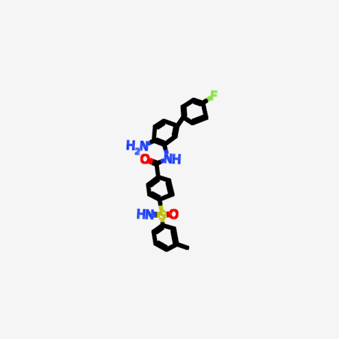 Cc1cccc(S(=N)(=O)c2ccc(C(=O)Nc3cc(-c4ccc(F)cc4)ccc3N)cc2)c1